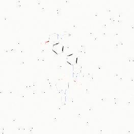 CCN1CCC(=O)c2ccc(-c3ccc(C[C@@H](C#N)NC(=O)[C@@H]4CNCCCO4)c(F)c3)cc21